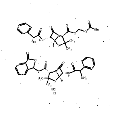 CC(C)(C)C(=O)OCOC(=O)[C@@H]1N2C(=O)[C@@H](NC(=O)[C@H](N)c3ccccc3)[C@H]2SC1(C)C.CC1(C)S[C@@H]2[C@H](NC(=O)C(N)c3ccccc3)C(=O)N2[C@H]1C(=O)OC1OC(=O)c2ccccc21.Cl.Cl